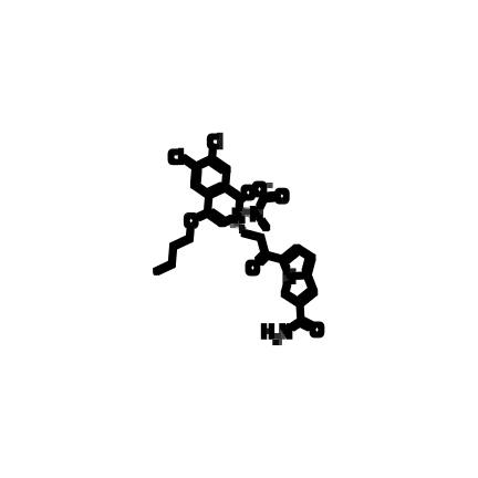 CCCCOC1=C[N@+](CCC(=O)c2ccc3n2CC(C(N)=O)=C3)(N(C)C(=O)[O-])C(=O)c2cc(Cl)c(Cl)cc21